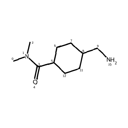 CN(C)C(=O)C1CCC(CN)CC1